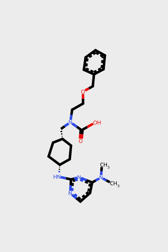 CN(C)c1ccnc(N[C@H]2CC[C@@H](CN(CCOCc3ccccc3)C(=O)O)CC2)n1